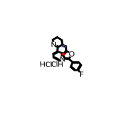 Cl.Cl.Fc1ccc(-c2ccc(/C=C3/CCCN=C3c3cccnc3)o2)cc1